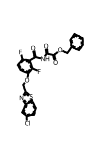 O=C(NC(=O)c1c(F)ccc(OCc2nc3cc(Cl)ccc3s2)c1F)C(=O)OCc1ccccc1